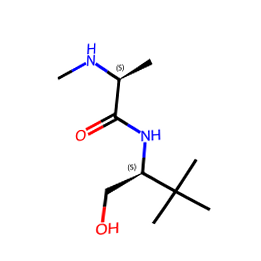 CN[C@@H](C)C(=O)N[C@H](CO)C(C)(C)C